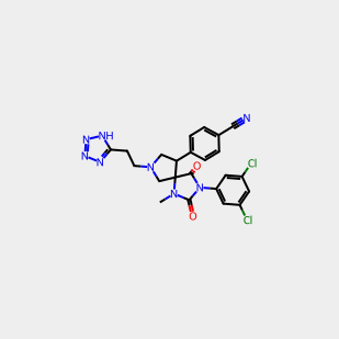 CN1C(=O)N(c2cc(Cl)cc(Cl)c2)C(=O)C12CN(CCc1nnn[nH]1)CC2c1ccc(C#N)cc1